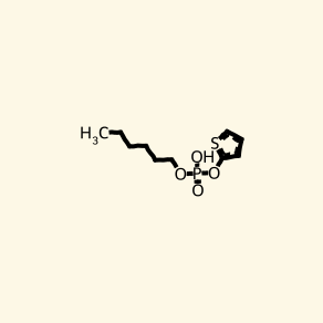 CCCCCCOP(=O)(O)Oc1cccs1